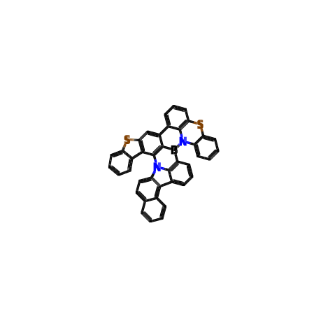 c1ccc2c(c1)Sc1cccc3c1N2B1c2c-3cc3sc4ccccc4c3c2-n2c3ccc4ccccc4c3c3cccc1c32